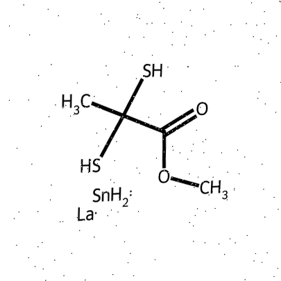 COC(=O)C(C)(S)S.[La].[SnH2]